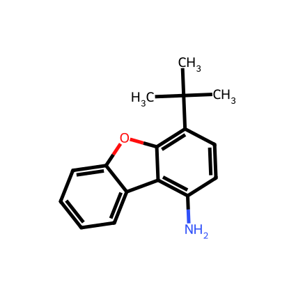 CC(C)(C)c1ccc(N)c2c1oc1ccccc12